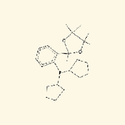 CC1(c2ccccc2P(C2CCCC2)C2CCCC2)OC(C)(C)C(C)(C)O1